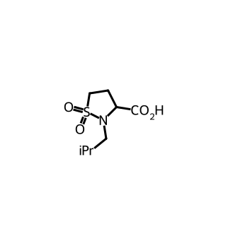 CC(C)CN1C(C(=O)O)CCS1(=O)=O